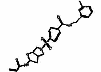 C=CC(=O)NC1CC2CN(S(=O)(=O)c3ccc(C(=O)NCCc4cccc(C)c4)cc3)CC2O1